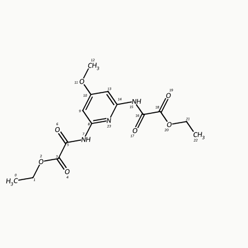 CCOC(=O)C(=O)Nc1cc(OC)cc(NC(=O)C(=O)OCC)n1